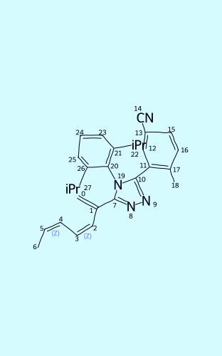 C=C(/C=C\C=C/C)c1nnc(-c2cc(C#N)ccc2C)n1-c1c(C(C)C)cccc1C(C)C